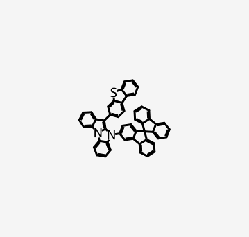 c1ccc2c(c1)-c1ccccc1C21c2ccccc2-c2cc(-n3c4ccccc4n4c5ccccc5c(-c5ccc6c(c5)sc5ccccc56)c34)ccc21